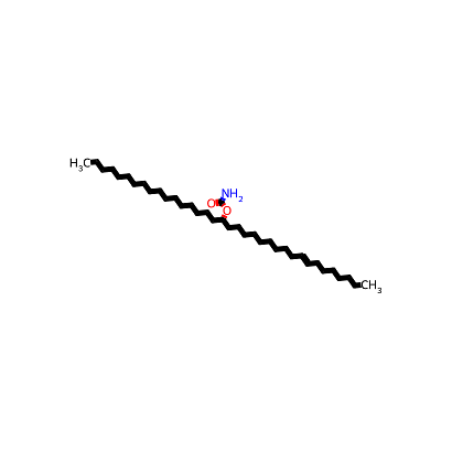 CCCCCCC/C=C/CCCCCCCCCC(CCCCCCCCCCCCCCCCC)OC(N)=O